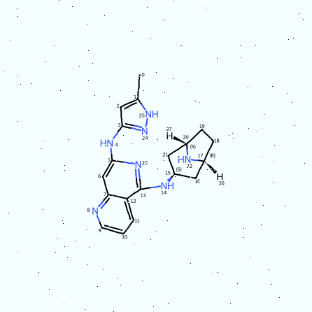 Cc1cc(Nc2cc3ncccc3c(N[C@@H]3C[C@H]4CC[C@@H](C3)N4)n2)n[nH]1